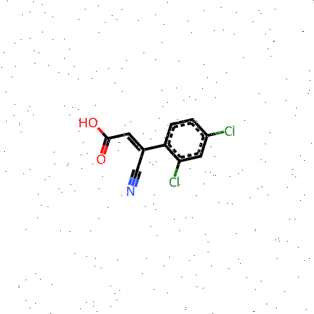 N#CC(=CC(=O)O)c1ccc(Cl)cc1Cl